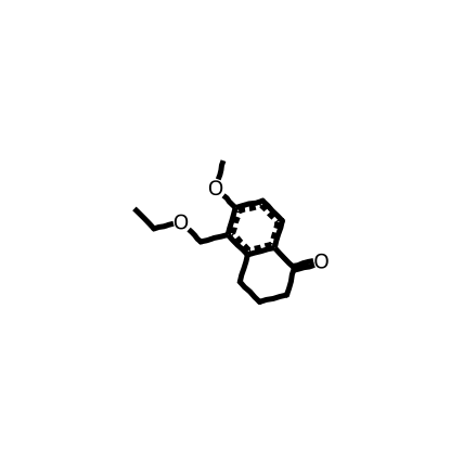 CCOCc1c(OC)ccc2c1CCCC2=O